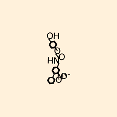 O=C(COc1ccc(CO)cc1)NCc1ccc(-c2ccccc2)c([N+](=O)[O-])c1